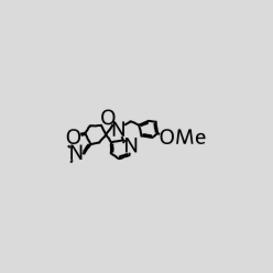 COc1ccc(CN2C(=O)C3(CCC(=O)C(=CN(C)C)C3)c3cccnc32)cc1